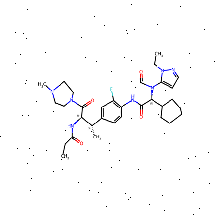 CCC(=O)N[C@@H](C(=O)N1CCN(C)CC1)[C@@H](C)c1ccc(NC(=O)[C@H](C2CCCCC2)N(C=O)c2ccnn2CC)c(F)c1